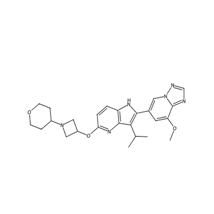 COc1cc(-c2[nH]c3ccc(OC4CN(C5CCOCC5)C4)nc3c2C(C)C)cn2ncnc12